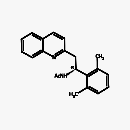 CC(=O)N[C@H](Cc1ccc2ccccc2n1)c1c(C)cccc1C